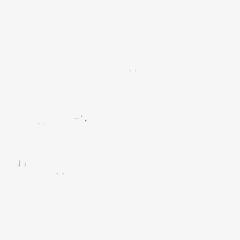 CCCC(Oc1ccccc1)C(=O)ONCC(O)COc1ccc(O)cc1